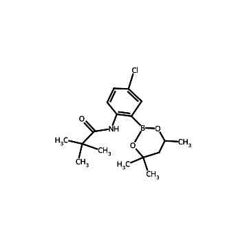 CC1CC(C)(C)OB(c2cc(Cl)ccc2NC(=O)C(C)(C)C)O1